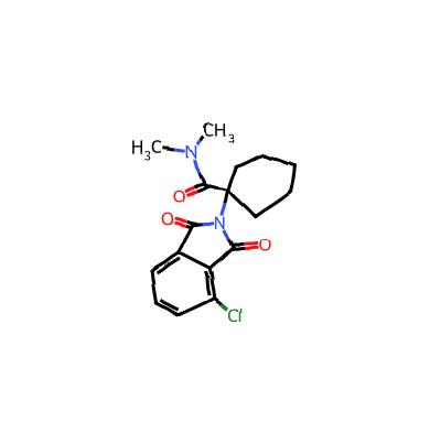 CN(C)C(=O)C1(N2C(=O)c3cccc(Cl)c3C2=O)CCCCC1